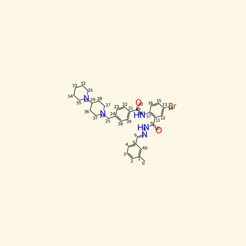 Cc1cccc(C=NNC(=O)c2cc(Br)ccc2NC(=O)c2ccc(CN3CCC(N4CCCCC4)CC3)cc2)c1